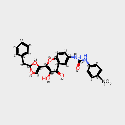 O=C(Nc1ccc([N+](=O)[O-])cc1)Nc1ccc2oc(C3=COC(Cc4ccccc4)O3)c(O)c(=O)c2c1